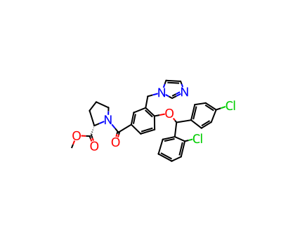 COC(=O)[C@@H]1CCCN1C(=O)c1ccc(OC(c2ccc(Cl)cc2)c2ccccc2Cl)c(Cn2ccnc2)c1